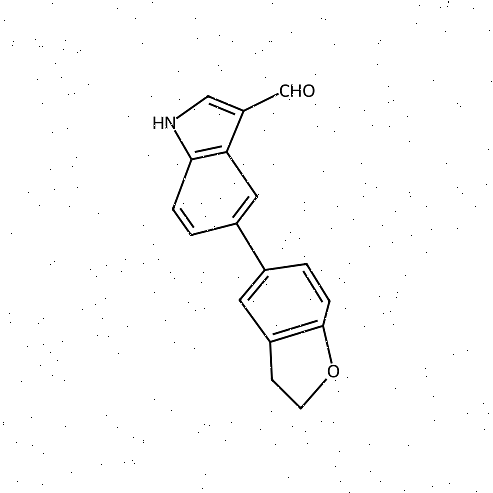 O=Cc1c[nH]c2ccc(-c3ccc4c(c3)CCO4)cc12